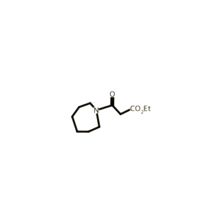 CCOC(=O)CC(=O)N1CCCCCC1